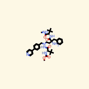 CNC(=O)[C@@H](NC(=O)C(N)(CCN(Cc1ccc(-c2ccncc2)cc1)NC(=O)[C@@H](NC(=O)OC)C(C)(C)C)Cc1ccccc1)C(C)(C)C